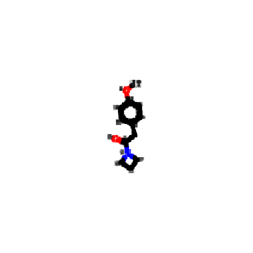 CCOc1ccc(CC(=O)N2CCC2)cc1